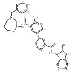 Nc1ncc(-c2cccc(C(=O)NC3c4ccccc4C[C@@H]3O)c2)nc1C(=O)N[C@H]1CCCCN(Cc2ccccc2)C1